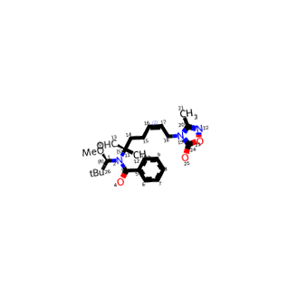 CO[C@@H](N(C(=O)c1ccccc1)[C@](C)(C=O)CC/C=C\Cn1c(C)noc1=O)C(C)(C)C